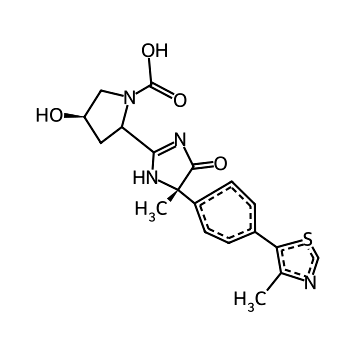 Cc1ncsc1-c1ccc([C@]2(C)NC(C3C[C@@H](O)CN3C(=O)O)=NC2=O)cc1